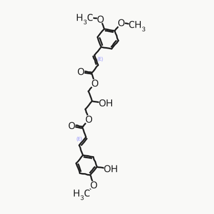 COc1ccc(/C=C/C(=O)OCC(O)COC(=O)/C=C/c2ccc(OC)c(OC)c2)cc1O